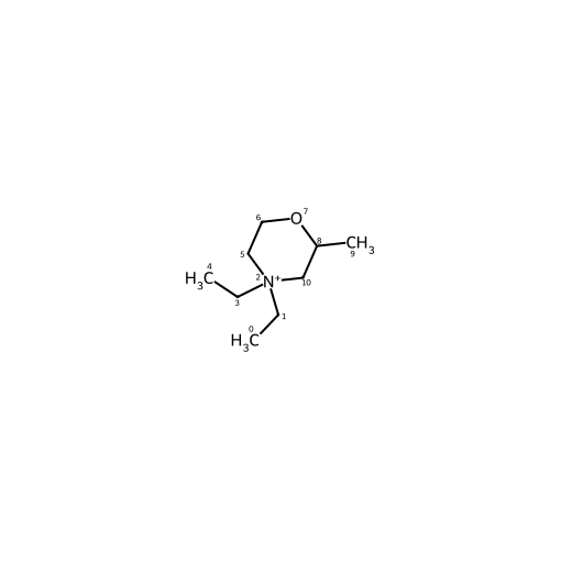 CC[N+]1(CC)CCOC(C)C1